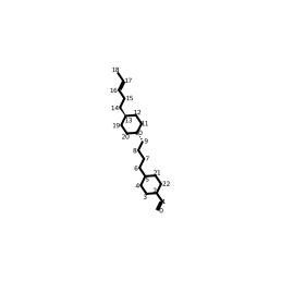 C=CC1CCC(CCCC[C@H]2CC[C@H](CC/C=C/C)CC2)CC1